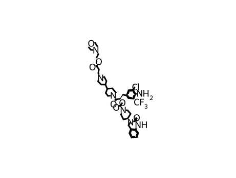 Nc1c(Cl)cc(C[C@@H](OC(=O)N2CCC(N3Cc4ccccc4NC3=O)CC2)C(=O)N2CCC(C3CCN(CCC(=O)OCCN4CCOCC4)CC3)CC2)cc1C(F)(F)F